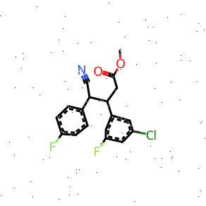 COC(=O)CC(c1cc(F)cc(Cl)c1)C(C#N)c1ccc(F)cc1